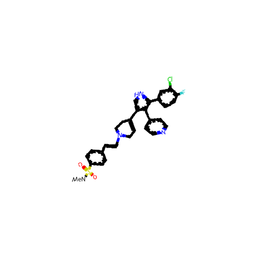 CNS(=O)(=O)c1ccc(C=CN2CC=C(c3c[nH]c(-c4ccc(F)c(Cl)c4)c3-c3ccncc3)CC2)cc1